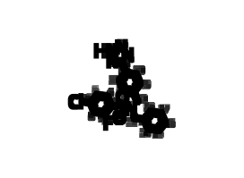 O=S(=O)(c1ccc(Cl)cc1F)N(Cc1ccccc1)Cc1ccc(-c2nn[nH]n2)cc1